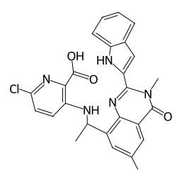 Cc1cc(C(C)Nc2ccc(Cl)nc2C(=O)O)c2nc(-c3cc4ccccc4[nH]3)n(C)c(=O)c2c1